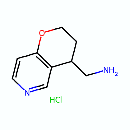 Cl.NCC1CCOc2ccncc21